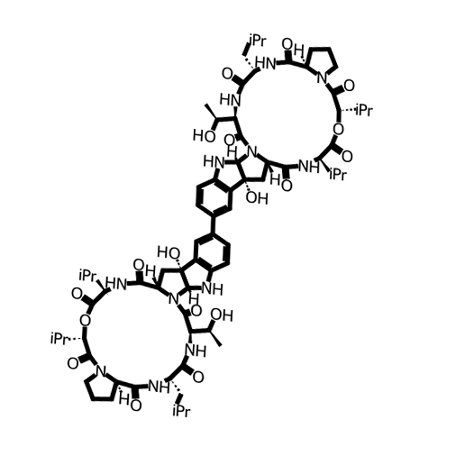 CC(C)C[C@@H]1NC(=O)[C@H]2CCCN2C(=O)[C@H](C(C)C)OC(=O)[C@@H](C(C)C)NC(=O)[C@@H]2C[C@@]3(O)c4cc(-c5ccc6c(c5)[C@]5(O)C[C@H]7C(=O)N[C@H](C(C)C)C(=O)O[C@@H](C(C)C)C(=O)N8CCC[C@@H]8C(=O)N[C@@H](CC(C)C)C(=O)N[C@H]([C@H](C)O)C(=O)N7[C@@H]5N6)ccc4N[C@H]3N2C(=O)[C@@H]([C@H](C)O)NC1=O